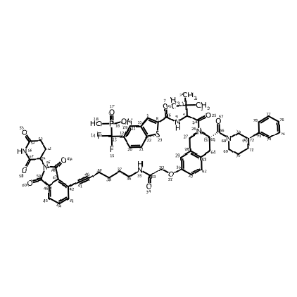 CC(C)(C)C(NC(=O)c1cc2cc(C(F)(F)P(=O)(O)O)ccc2s1)C(=O)N1Cc2cc(OCC(=O)NCCCCC#Cc3cccc4c3C(=O)N(C3CCC(=O)NC3=O)C4=O)ccc2C[C@H]1C(=O)N1CCC[C@H](c2ccccc2)C1